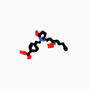 C#CCCC[C@H](O)/C=C/[C@H]1CCC(=O)N1CCc1ccc(C(=O)O)cc1